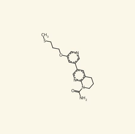 CSCCCOc1cncc(-c2cnc3c(c2)CCCN3C(N)=O)c1